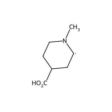 CN1[CH]CC(C(=O)O)CC1